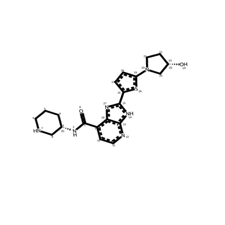 O=C(N[C@H]1CCCNC1)c1ccnc2[nH]c(-c3ccc(N4CC[C@H](O)C4)s3)nc12